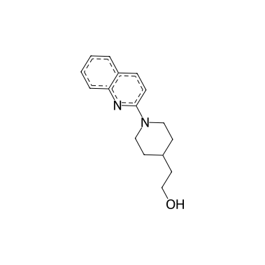 OCCC1CCN(c2ccc3ccccc3n2)CC1